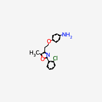 Cc1oc(-c2ccccc2Cl)nc1CCOc1ccc(N)cc1